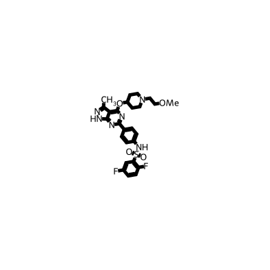 COCCN1CCC(Oc2nc(-c3ccc(NS(=O)(=O)c4cc(F)ccc4F)cc3)nc3[nH]nc(C)c23)CC1